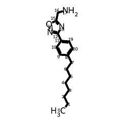 CCCCCCCCc1ccc(-c2noc(CN)n2)cc1